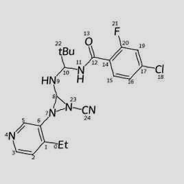 CCc1ccncc1N1C(NC(NC(=O)c2ccc(Cl)cc2F)C(C)(C)C)N1C#N